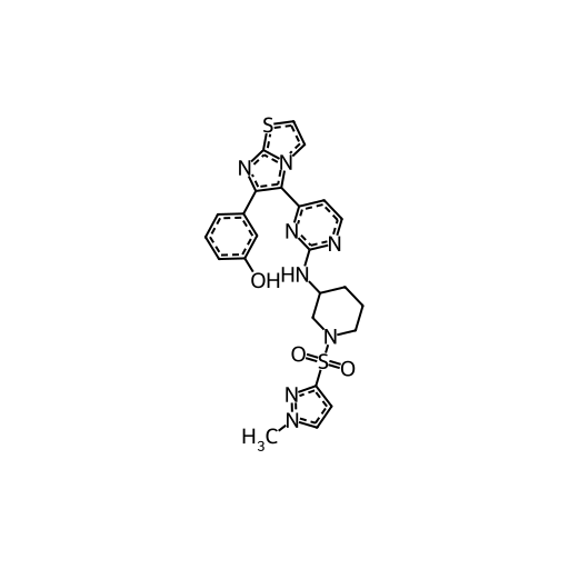 Cn1ccc(S(=O)(=O)N2CCCC(Nc3nccc(-c4c(-c5cccc(O)c5)nc5sccn45)n3)C2)n1